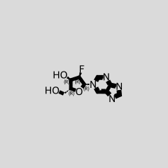 OC[C@H]1O[C@@H](n2cnc3ncnc-3c2)[C@H](F)[C@@H]1O